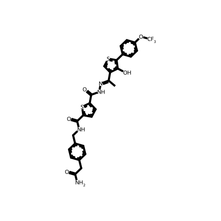 C/C(=N\NC(=O)c1ccc(C(=O)NCc2ccc(CC(N)=O)cc2)s1)c1csc(-c2ccc(OC(F)(F)F)cc2)c1O